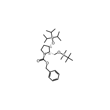 CC(C)[Si](O[C@H]1CCN(C(=O)OCc2ccccc2)[C@H]1CO[Si](C)(C)C(C)(C)C)(C(C)C)C(C)C